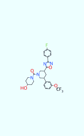 O=C(N1CCC(O)CC1)N1CC(c2cccc(OC(F)(F)F)c2)CC(c2nc(-c3ccc(F)cc3)no2)C1